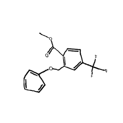 COC(=O)c1ccc(C(F)(F)F)cc1COc1ccccc1